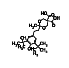 CC1(CCc2cc(C(C)(C)C)c(O)c(C(C)(C)C)c2)OCC(C(=O)O)(C(=O)O)CO1